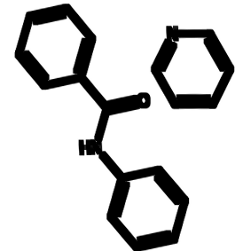 O=C(Nc1ccccc1)c1ccccc1.c1ccncc1